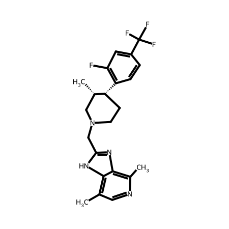 Cc1ncc(C)c2[nH]c(CN3CC[C@@H](c4ccc(C(F)(F)F)cc4F)[C@@H](C)C3)nc12